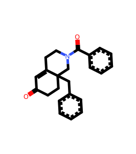 O=C1C=C2CCN(C(=O)c3ccccc3)CC2(Cc2ccccc2)CC1